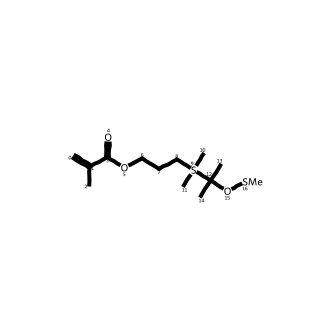 C=C(C)C(=O)OCCCS(C)(C)C(C)(C)OSC